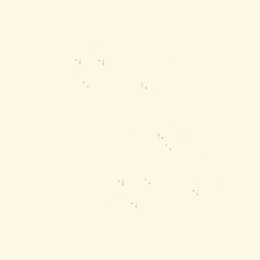 c1ccc(-c2nc(-c3ccccc3)nc(-c3cccc(-n4c5ccccc5c5ccc(-c6nnc(-c7ccc8c9ccccc9n(-c9cccc(-c%10nc(-c%11ccccc%11)nc(-c%11ccccc%11)n%10)c9)c8c7)s6)cc54)c3)n2)cc1